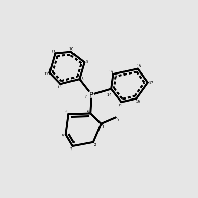 CC1CC=CC=C1P(c1ccccc1)c1ccccc1